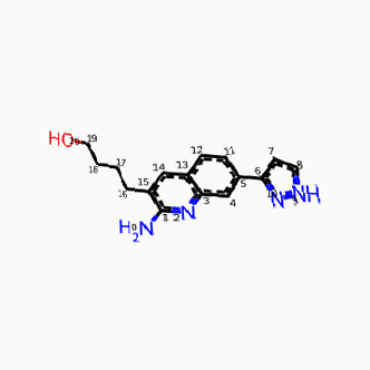 Nc1nc2cc(-c3cc[nH]n3)ccc2cc1CCCCO